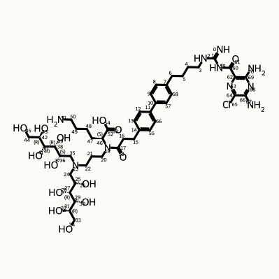 N=C(NCCCCc1ccc(-c2ccc(CCC(=O)N(CCCN(C[C@H](O)[C@@H](O)[C@H](O)[C@H](O)CO)C[C@H](O)[C@@H](O)[C@H](O)[C@H](O)CO)[C@@H](CCCCN)C(=O)O)cc2)cc1)NC(=O)c1nc(Cl)c(N)nc1N